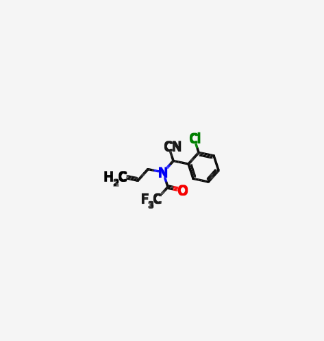 C=CCN(C(=O)C(F)(F)F)C(C#N)c1ccccc1Cl